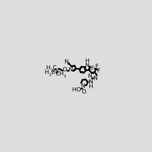 C[Si](C)(C)CCOCn1cc(-c2ccc3c(-c4nc(N[C@H]5CCCN(C(=O)O)C5)ncc4C(F)(F)F)c[nH]c3c2)cc1C#N